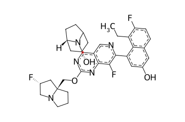 CCc1c(F)ccc2cc(O)cc(-c3ncc4c(N5C6CC[C@H]5C[C@@H](O)C6)nc(OC[C@@]56CCCN5C[C@H](F)C6)nc4c3F)c12